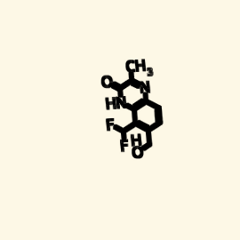 Cc1nc2ccc(CO)c(C(F)F)c2[nH]c1=O